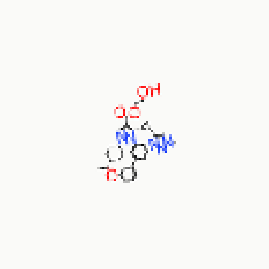 CC(Oc1cccc(-c2cccc(-n3ncc(C(=O)OCCO)c3[C@@H]3C[C@H]3c3cn(C)nn3)c2)c1)C1CCCCC1